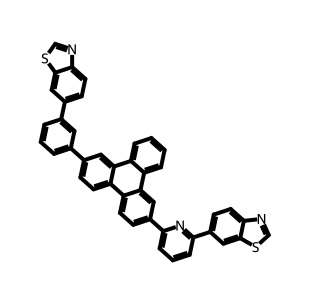 c1cc(-c2ccc3ncsc3c2)cc(-c2ccc3c4ccc(-c5cccc(-c6ccc7ncsc7c6)n5)cc4c4ccccc4c3c2)c1